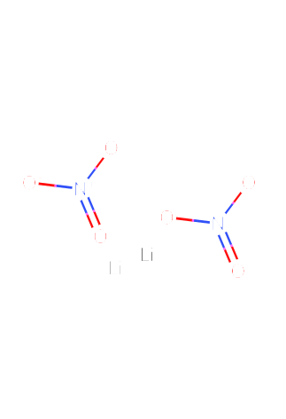 O=[N+]([O-])[O-].O=[N+]([O-])[O-].[Li+].[Li+]